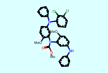 COc1ccc(Nc2ccccc2)cc1N(C(=O)OC(C)(C)C)c1cc(N(c2ccccc2)c2cccc(Cl)c2Cl)ccc1OC